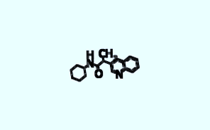 CC(C(=O)NC1CCCCC1)c1cnc2ccccc2c1